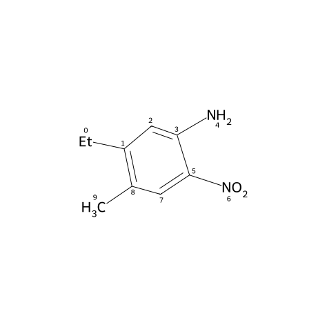 CCc1cc(N)c([N+](=O)[O-])cc1C